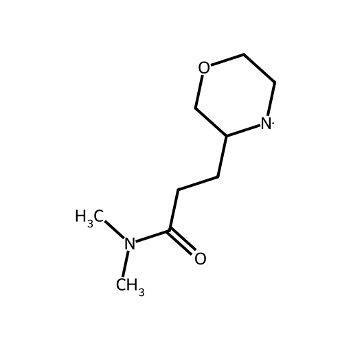 CN(C)C(=O)CCC1COCC[N]1